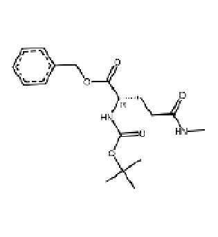 CNC(=O)CC[C@H](NC(=O)OC(C)(C)C)C(=O)OCc1ccccc1